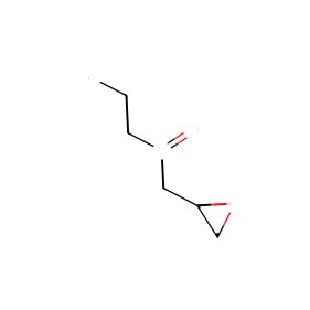 CCC[Si](=O)CC1CO1